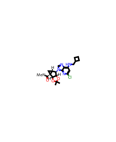 CNC(=O)[C@@]12C[C@@H]1[C@@H](n1cnc3c(NCC4CCC4)cc(Cl)nc31)[C@@H]1OC(C)(C)O[C@@H]12